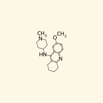 COc1ccc2nc3c(c(NC4CCN(C)CC4)c2c1)CCCC3